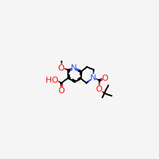 COc1nc2c(cc1C(=O)O)CN(C(=O)OC(C)(C)C)CC2